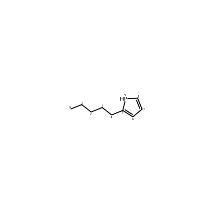 CCCCCc1ccc[pH]1